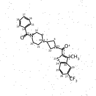 Cc1c(C(=O)N2CC(N3CCN(C(=O)c4ccccc4)CC3)C2)sc2ccc(C(F)(F)F)cc12